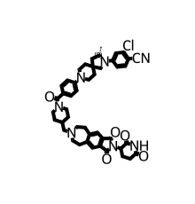 C[C@H]1CC2(CCN(c3ccc(C(=O)N4CCC(CN5CCc6cc7c(cc6CC5)C(=O)N(C5CCC(=O)NC5=O)C7=O)CC4)cc3)CC2)CN1c1ccc(C#N)c(Cl)c1